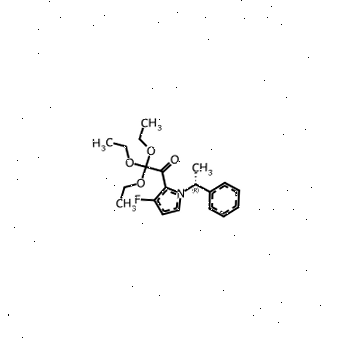 CCOC(OCC)(OCC)C(=O)c1c(F)ccn1[C@H](C)c1ccccc1